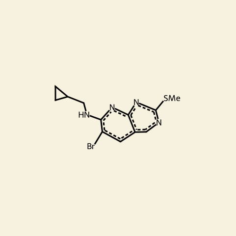 CSc1ncc2cc(Br)c(NCC3CC3)nc2n1